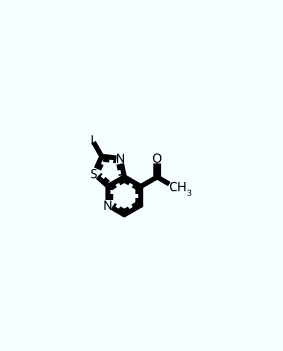 CC(=O)c1ccnc2sc(I)nc12